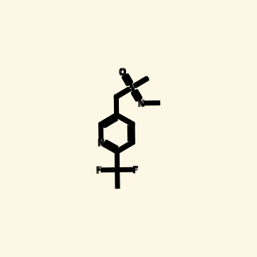 CN=S(C)(=O)Cc1ccc(C(C)(F)F)nc1